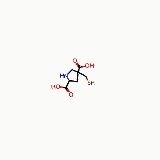 O=C(O)C1CC(CS)(C(=O)O)CN1